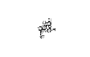 O=C1NCCc2[nH]c(-c3ccncc3OC[C@@H]3CCO3)c(Nc3cccc(Cl)c3Cl)c21